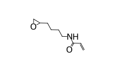 C=CC(=O)NCCCCC1CO1